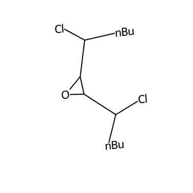 CCCCC(Cl)C1OC1C(Cl)CCCC